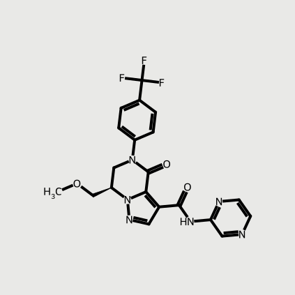 COC[C@H]1CN(c2ccc(C(F)(F)F)cc2)C(=O)c2c(C(=O)Nc3cnccn3)cnn21